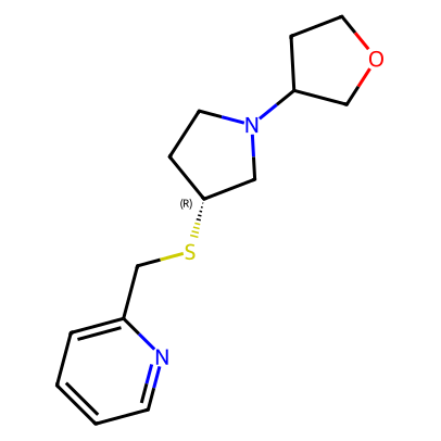 c1ccc(CS[C@@H]2CCN(C3CCOC3)C2)nc1